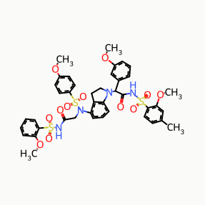 COc1ccc(S(=O)(=O)N(CC(=O)NS(=O)(=O)c2ccccc2OC)c2cccc3c2CCN3C(C(=O)NS(=O)(=O)c2ccc(C)cc2OC)c2cccc(OC)c2)cc1